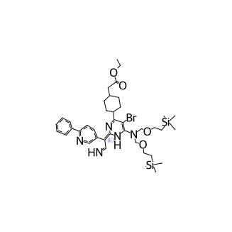 CCOC(=O)CC1CCC(C2=N/C(=C(/C=N)c3ccc(-c4ccccc4)nc3)NC(N(COCC[Si](C)(C)C)COCC[Si](C)(C)C)=C2Br)CC1